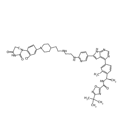 Cc1cc(-c2ncnc3[nH]c(-c4ccc(NCCNCCC5CCN(c6ccc(N7CCC(=O)NC7=O)c(Cl)c6)CC5)nc4)cc23)ccc1[C@@H](C)NC(=O)c1nc(C(C)(C)C)no1